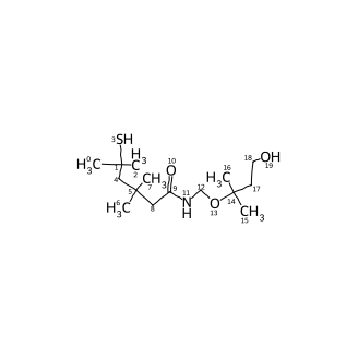 CC(C)(S)CC(C)(C)CC(=O)NCOC(C)(C)CCO